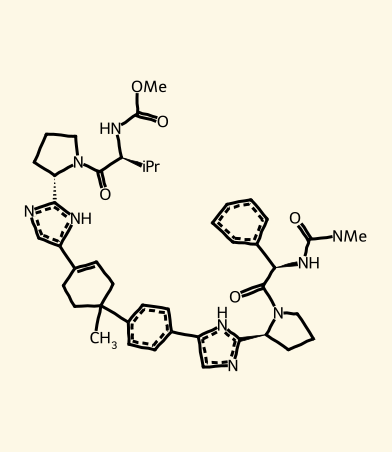 CNC(=O)N[C@@H](C(=O)N1CCC[C@H]1c1ncc(-c2ccc(C3(C)CC=C(c4cnc([C@@H]5CCCN5C(=O)[C@@H](NC(=O)OC)C(C)C)[nH]4)CC3)cc2)[nH]1)c1ccccc1